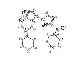 CN1CCN(C(=O)c2nc(-c3c[nH]c4ncc(C5CCCCC5)cc34)cs2)CC1